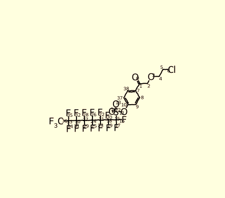 O=C(COCCCl)c1ccc(OS(=O)(=O)C(F)(F)C(F)(F)C(F)(F)C(F)(F)C(F)(F)C(F)(F)C(F)(F)C(F)(F)F)cc1